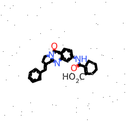 O=C(O)C1=C(C(=O)Nc2ccc3c(=O)n4c(nc3c2)C(=Cc2ccccc2)CC4)CCCC1